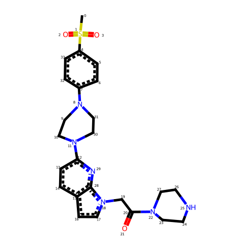 CS(=O)(=O)c1ccc(N2CCN(c3ccc4ccn(CC(=O)N5CCNCC5)c4n3)CC2)cc1